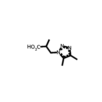 Cc1nnn(CC(C)C(=O)O)c1C